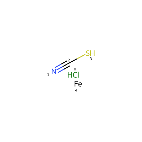 Cl.N#CS.[Fe]